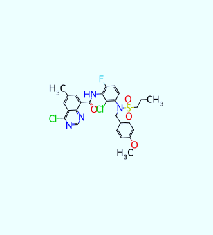 CCCS(=O)(=O)N(Cc1ccc(OC)cc1)c1ccc(F)c(NC(=O)c2cc(C)cc3c(Cl)ncnc23)c1Cl